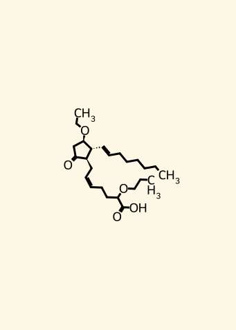 CCCCCC/C=C/[C@H]1[C@H](OCC)CC(=O)[C@@H]1C/C=C\CCC(OCCC)C(=O)O